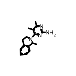 Cc1nc(N)nc(N2CCc3ccccc3C2C)c1C